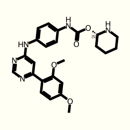 COc1ccc(-c2cc(Nc3ccc(NC(=O)O[C@H]4CCCCN4)cc3)ncn2)c(OC)c1